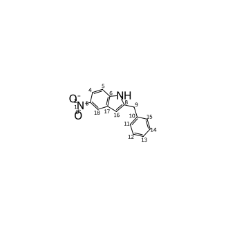 O=[N+]([O-])c1ccc2[nH]c(Cc3ccccc3)cc2c1